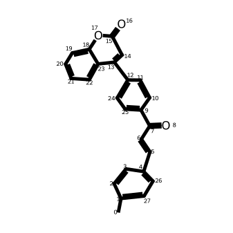 Cc1ccc(C=CC(=O)c2ccc(-c3cc(=O)oc4ccccc34)cc2)cc1